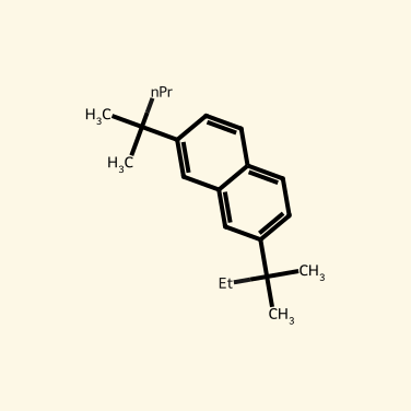 CCCC(C)(C)c1ccc2ccc(C(C)(C)CC)cc2c1